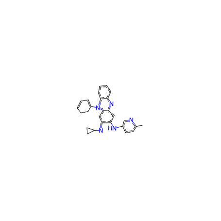 Cc1ccc(Nc2cc3nc4ccccc4n(C4=CC=CCC4)c-3c/c2=N\C2CC2)cn1